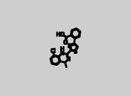 CC1N=C(c2nc(-c3ccccc3C(=O)O)cs2)Nc2c(Cl)cccc21